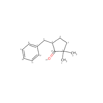 CC1(C)CCC(Cc2ccccc2)C1=O